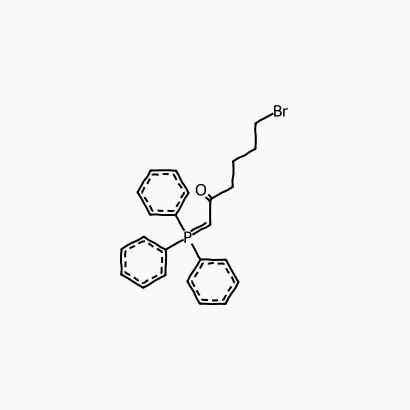 O=C(C=P(c1ccccc1)(c1ccccc1)c1ccccc1)CCCCBr